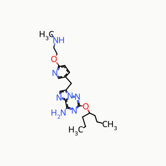 CCCC(CCC)Oc1nc(N)c2ncc(Cc3ccc(OCCNC)nc3)n2n1